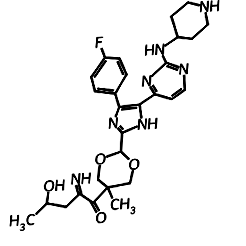 CC(O)CC(=N)C(=O)C1(C)COC(c2nc(-c3ccc(F)cc3)c(-c3ccnc(NC4CCNCC4)n3)[nH]2)OC1